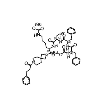 CC(C)C[C@@H](NC(=O)[C@@H](Cc1ccccc1)NC(=O)[C@@H](Cc1ccccc1)NC(=O)OC(C)(C)C)C(=O)N[C@H](CCCCNC(=O)OC(C)(C)C)C(=O)N1CC2(CCN(C(=O)CCc3ccccc3)CC2)C1